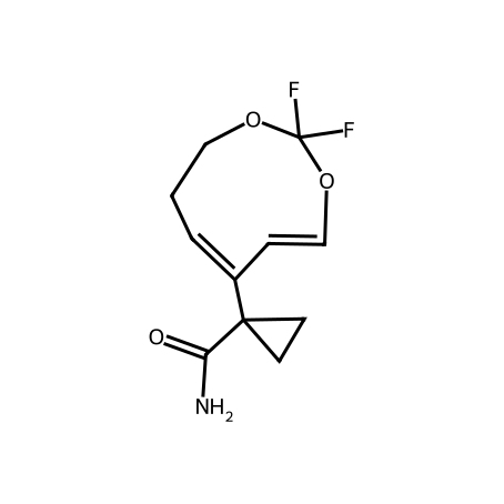 NC(=O)C1(C2=C/CCOC(F)(F)O\C=C\2)CC1